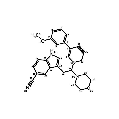 COc1cccc(C2=CN(C(Cc3c[nH]c4ccc(C#N)cc34)N3CCOCC3)CC#C2)c1